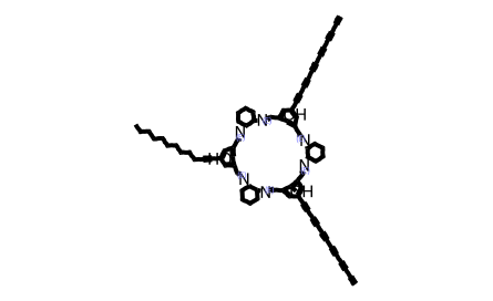 C#CC#CC#CC#CC#CC#Cc1cc2c(O)c(c1)/C=N/C1CCCCC1/N=C/c1cc(C#CCCCCCCCCCC)cc(c1O)/C=N/C1CCCCC1/N=C/c1cc(C#CC#CC#CC#CC#CC#C)cc(c1O)/C=N/C1CCCCC1/N=C/2